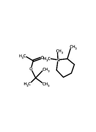 CC(=O)OC(C)(C)C.CC1CCCC[Si]1(C)C